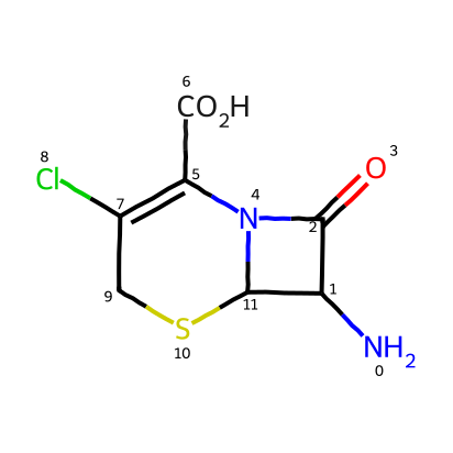 NC1C(=O)N2C(C(=O)O)=C(Cl)CSC12